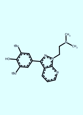 CN(C)CCn1nc(-c2cc(C(C)(C)C)c(O)c(C(C)(C)C)c2)c2cccnc21